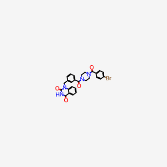 O=C(c1ccc(Br)cc1)N1CCN(C(=O)c2cccc(Cn3c(=O)[nH]c(=O)c4ccccc43)c2)CC1